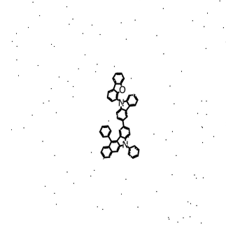 c1ccc(-c2c3ccccc3cc3c2c2cc(-c4ccc5c(c4)c4ccccc4n5-c4cccc5c4oc4ccccc45)ccc2n3-c2ccccc2)cc1